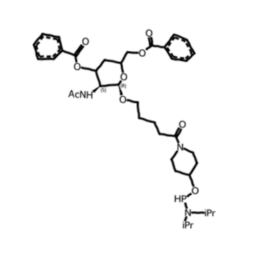 CC(=O)N[C@H]1C(OC(=O)c2ccccc2)CC(COC(=O)c2ccccc2)O[C@H]1OCCCCC(=O)N1CCC(OPN(C(C)C)C(C)C)CC1